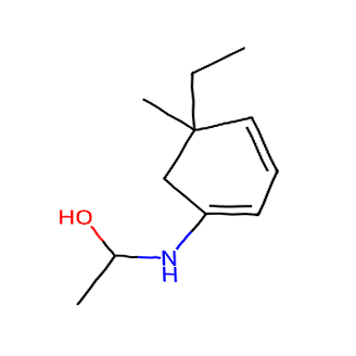 CCC1(C)C=CC=C(NC(C)O)C1